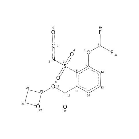 O=C=NS(=O)(=O)c1c(OC(F)F)cccc1C(=O)OC1CCO1